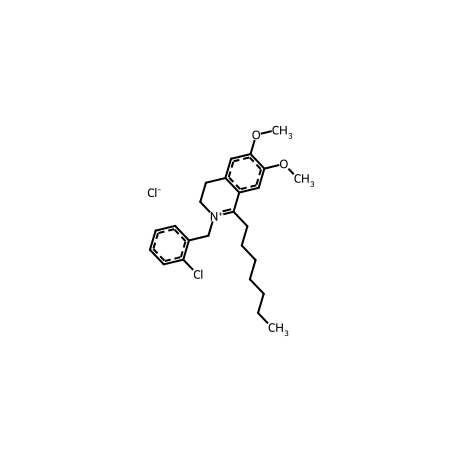 CCCCCCCC1=[N+](Cc2ccccc2Cl)CCc2cc(OC)c(OC)cc21.[Cl-]